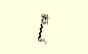 NC=CCCCCCN/C=[P+](\[O-])O